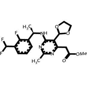 COC(=O)Cc1nc(C)nc(N[C@H](C)c2cccc(C(F)F)c2F)c1C1OCCO1